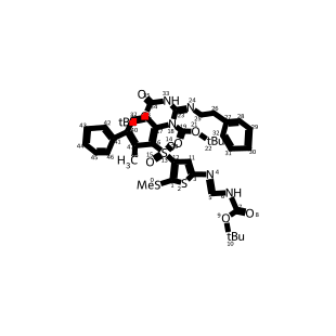 CSc1sc(N=CNC(=O)OC(C)(C)C)cc1S(=O)(=O)c1c(N(C(=O)OC(C)(C)C)C(=NCCc2ccccc2)NC(=O)OC(C)(C)C)ccc(-c2ccccc2)c1C